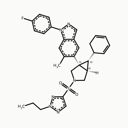 CCCn1ncc(S(=O)(=O)N2C[C@@H]3[C@@H](C4C=CC=CC4)[C@]3(c3cc4cnn(-c5ccc(F)cc5)c4cc3C)C2)n1